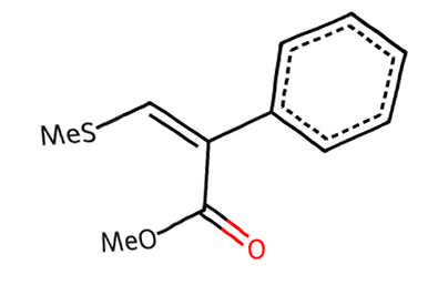 COC(=O)C(=CSC)c1ccccc1